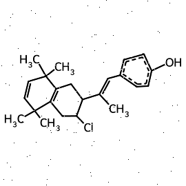 CC(=Cc1ccc(O)cc1)C1CC2=C(CC1Cl)C(C)(C)C=CC2(C)C